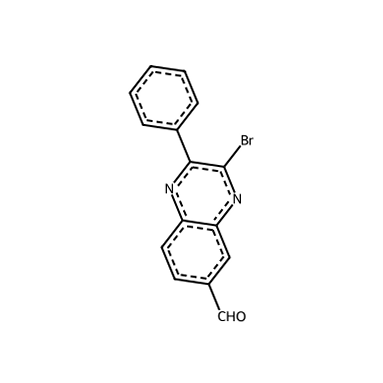 O=Cc1ccc2nc(-c3ccccc3)c(Br)nc2c1